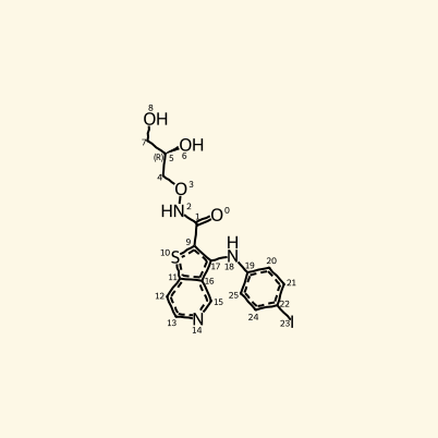 O=C(NOC[C@H](O)CO)c1sc2ccncc2c1Nc1ccc(I)cc1